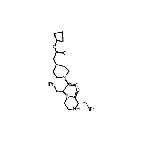 CC(C)C[C@@H]1NCCN([C@@H](CC(C)C)C(=O)N2CCC(CC(=O)OC3CCC3)CC2)C1=O